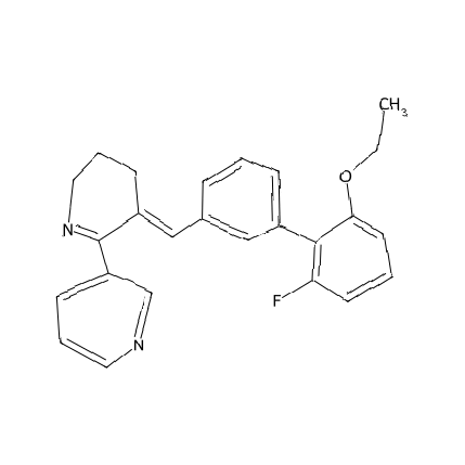 CCOc1cccc(F)c1-c1cccc(C=C2CCCN=C2c2cccnc2)c1